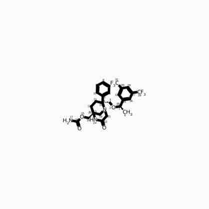 C[C@@H](OC[C@@]1(c2ccccc2)CC[C@]2(COC(N)=O)CN1CC(=O)N2)c1cc(C(F)(F)F)cc(C(F)(F)F)c1